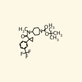 CN(C(=O)C1(c2cccc(C(F)(F)F)c2)CC1)C1CCN(C(=O)OC(C)(C)C)CC1